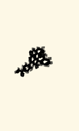 C=CC(=O)N1CCN(c2nc(=O)n(-c3c(C)ccnc3C(C)C)c3c4c(c(Cl)cc23)-c2ccccc2CO4)[C@@H](C)C1